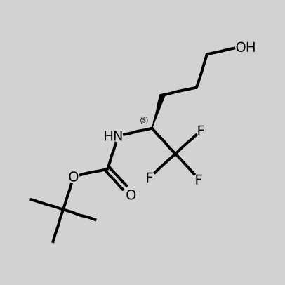 CC(C)(C)OC(=O)N[C@@H](CCCO)C(F)(F)F